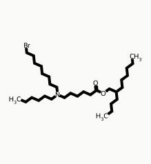 CCCCCCC(CCCC)COC(=O)CCCCCN(CCCCCC)CCCCCCCCBr